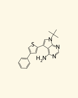 CC(C)(C)n1cc(-c2cc(-c3ccccc3)cs2)c2c(N)ncnc21